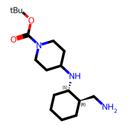 CC(C)(C)OC(=O)N1CCC(N[C@H]2CCCC[C@@H]2CN)CC1